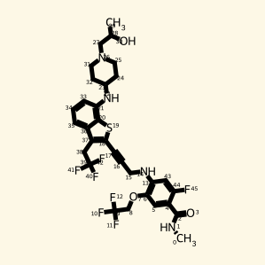 CNC(=O)c1cc(OCC(F)(F)F)c(NCC#Cc2sc3c(NC4CCN(CC(C)O)CC4)cccc3c2CC(F)(F)F)cc1F